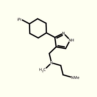 CNCCN(C)Cc1c[nH]nc1C1CCC(C(C)C)CC1